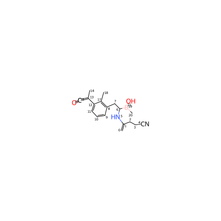 C=C(CCC#N)NC(Cc1cccc(C(C)=C=O)c1C)B(C)O